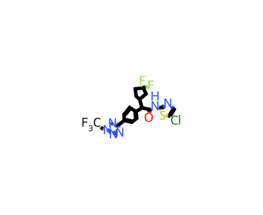 O=C(Nc1ncc(Cl)s1)C(c1ccc(-c2nnn(CC(F)(F)F)n2)cc1)C1CCC(F)(F)C1